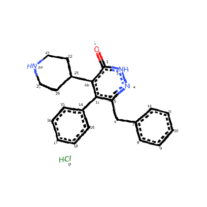 Cl.O=c1[nH]nc(Cc2ccccc2)c(-c2ccccc2)c1C1CCNCC1